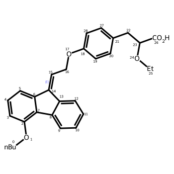 CCCCOc1cccc2c1-c1ccccc1/C2=C\COc1ccc(CC(OCC)C(=O)O)cc1